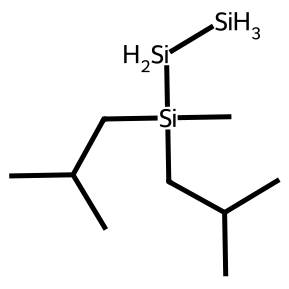 CC(C)C[Si](C)(CC(C)C)[SiH2][SiH3]